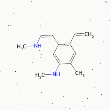 C=Cc1cc(C)c(NC)cc1/C=C\NC